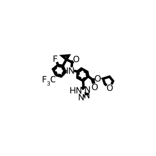 O=C(O[C@@H]1CCOC1)c1ccc(NC(=O)C2(c3ccc(C(F)(F)F)cc3F)CC2)cc1-c1nnn[nH]1